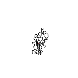 C[C@H](c1cccnc1N)N1CCOc2c(Cl)c(-c3c(F)ccc4cnn(C)c34)c(F)c3nc(OC[C@@]45CCCN4C[C@H](F)C5)nc1c23